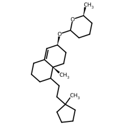 C[C@H]1CCCC(O[C@@H]2C=C3CCCC(CCC4(C)CCCC4)[C@@]3(C)CC2)O1